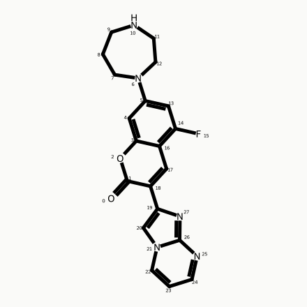 O=c1oc2cc(N3CCCNCC3)cc(F)c2cc1-c1cn2cccnc2n1